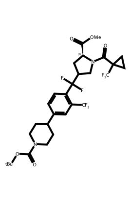 COC(=O)[C@@H]1CC(C(F)(F)c2ccc(C3CCN(C(=O)OC(C)(C)C)CC3)cc2C(F)(F)F)CN1C(=O)C1(C(F)(F)F)CC1